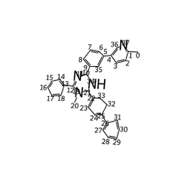 Cc1ccc(-c2cccc(C3N=C(c4ccccc4)N(C)C(C4=CC=C(c5ccccc5)CC4)N3)c2)cn1